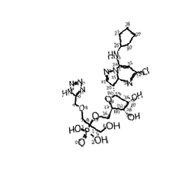 O=P(O)(O)C(CO)(COCc1nnn[nH]1)OC[C@H]1O[C@H](C2C=NN3C(NC4CCCC4)=CC(Cl)=NC23)[C@H](O)[C@@H]1O